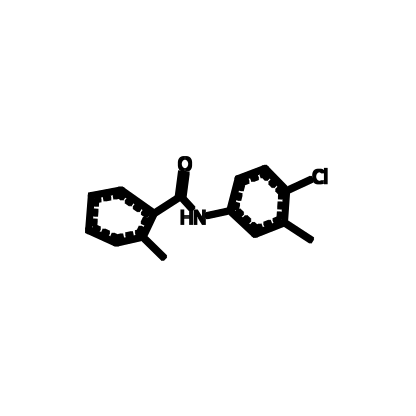 Cc1cc(NC(=O)c2ccccc2C)ccc1Cl